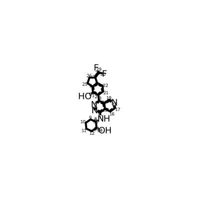 Oc1c(-c2nnc(N[C@@H]3CCCC[C@H]3O)c3ccncc23)ccc2c1CCC2=C(F)F